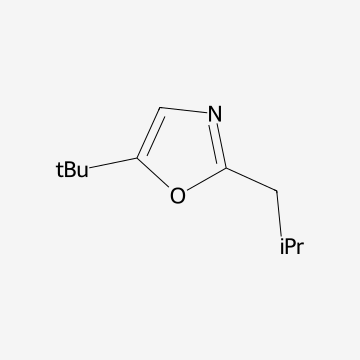 CC(C)Cc1ncc(C(C)(C)C)o1